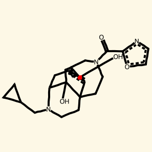 O=C(c1ncco1)N1CCC23CCN(CC4CC4)C(Cc4ccc(O)cc42)C3(O)CC1